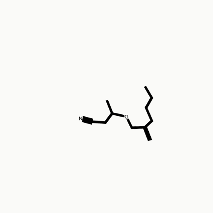 C=C(CCCC)COC(C)CC#N